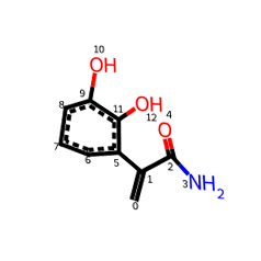 C=C(C(N)=O)c1cccc(O)c1O